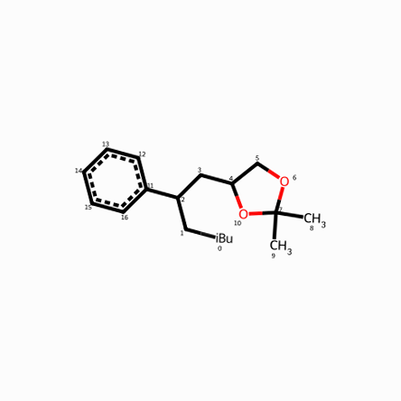 CCC(C)CC(CC1COC(C)(C)O1)c1ccccc1